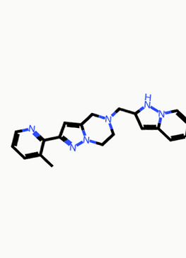 Cc1cccnc1-c1cc2n(n1)CCN(CC1C=C3C=CC=CN3N1)C2